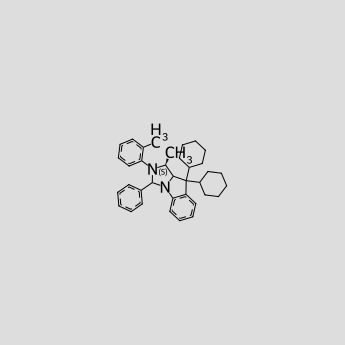 Cc1ccccc1N1C(c2ccccc2)N2c3ccccc3C(C3CCCCC3)(C3CCCCC3)C2[C@@H]1C